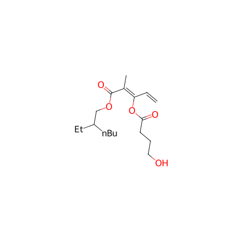 C=CC(OC(=O)CCCO)=C(C)C(=O)OCC(CC)CCCC